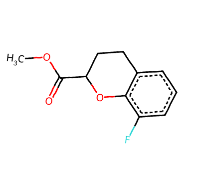 COC(=O)C1CCc2cccc(F)c2O1